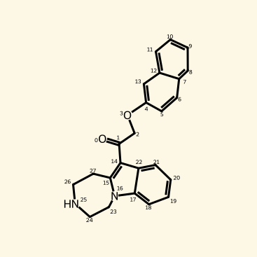 O=C(COc1ccc2ccccc2c1)c1c2n(c3ccccc13)CCNCC2